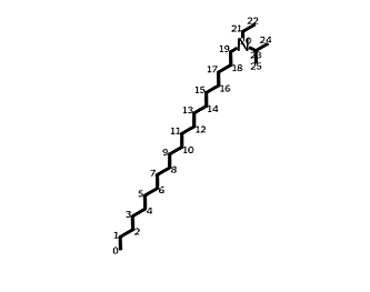 CCCCCCCCCCCCCCCCCCCCN(CC)C(C)C